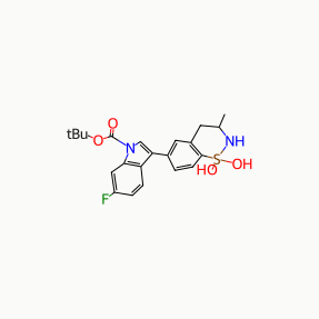 CC1Cc2cc(-c3cn(C(=O)OC(C)(C)C)c4cc(F)ccc34)ccc2S(O)(O)N1